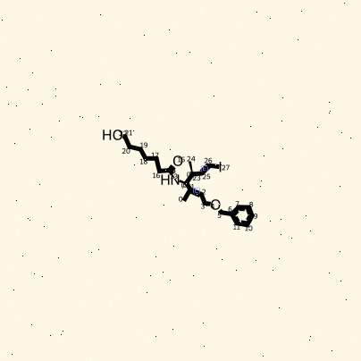 C/C(=C\COCc1ccccc1)[C@@H](NC(=O)CCCCCCO)[C@@H](C)/C=C/I